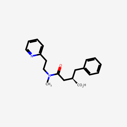 CN(CCc1ccccn1)C(=O)C[C@@H](Cc1ccccc1)C(=O)O